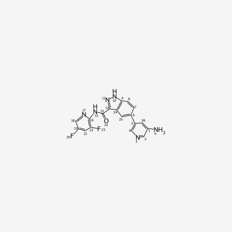 Nc1cncc(-c2ccc3[nH]nc(C(=O)Nc4ncc(F)cc4F)c3c2)c1